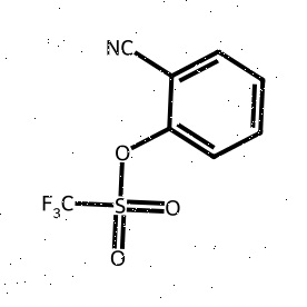 N#Cc1ccccc1OS(=O)(=O)C(F)(F)F